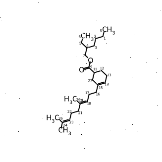 CCCCC(CC)COC(=O)C1CCC=C(CC/C=C(\C)CCC=C(C)C)C1